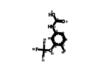 O=C(O)Nc1ccc(F)c(OC(F)(F)F)c1